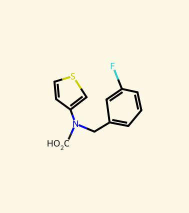 O=C(O)N(Cc1cccc(F)c1)c1ccsc1